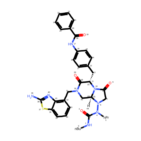 CCCCNC(=O)N(CCC)N1CC(=O)N2[C@@H](Cc3ccc(NC(=O)c4ccccc4)cc3)C(=O)N(Cc3cccc4sc(N)nc34)C[C@@H]21